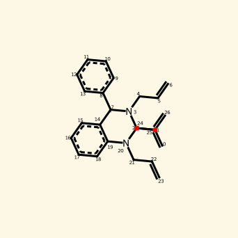 C=CCN(CC=C)[C](c1ccccc1)c1ccccc1N(CC=C)CC=C